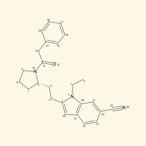 CCn1c(CC[C@@H]2CCCN2C(=O)Cc2ccccc2)cc2ccc(C#N)cc21